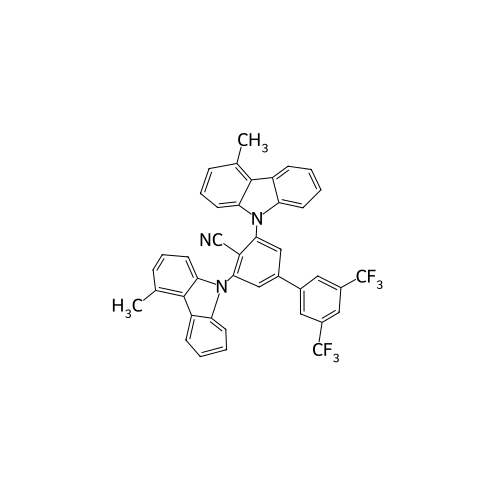 Cc1cccc2c1c1ccccc1n2-c1cc(-c2cc(C(F)(F)F)cc(C(F)(F)F)c2)cc(-n2c3ccccc3c3c(C)cccc32)c1C#N